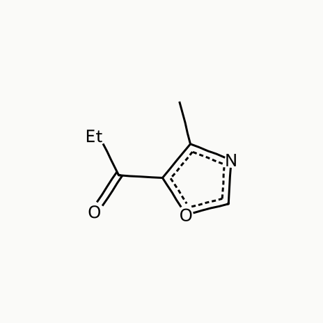 CCC(=O)c1ocnc1C